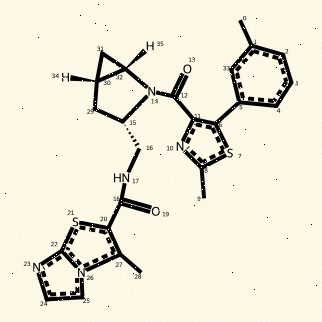 Cc1cccc(-c2sc(C)nc2C(=O)N2[C@H](CNC(=O)c3sc4nccn4c3C)C[C@@H]3C[C@@H]32)c1